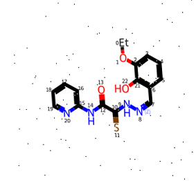 CCOc1cccc(/C=N\NC(=S)C(=O)Nc2ccccn2)c1O